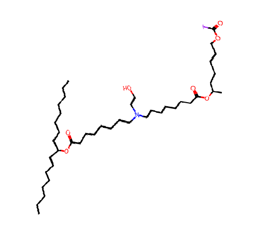 CCCCCCCCC(CCCCCCCC)OC(=O)CCCCCCCN(CCO)CCCCCCCC(=O)OC(C)CCCCCOC(=O)I